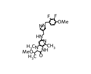 COc1ccc(Cn2cc(CNc3cc4c(c(C)n3)NC(=O)[C@H]([C@@H](C)OC)N4C)cn2)c(F)c1F